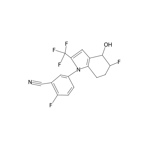 N#Cc1cc(-n2c(C(F)(F)F)cc3c2CCC(F)C3O)ccc1F